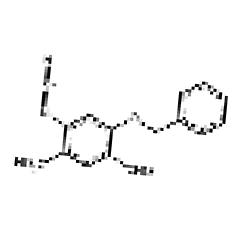 [N-]=[N+]=Nc1cc(OCc2ccccc2)c(C=O)cc1C(=O)O